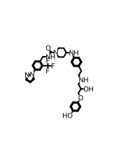 O=C(NCc1ccc(-n2cccn2)cc1C(F)(F)F)N1CCC(Nc2ccc(CCNCC(O)COc3ccc(O)cc3)cc2)CC1